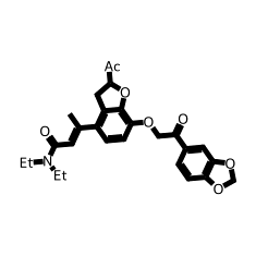 CCN(CC)C(=O)/C=C(\C)c1ccc(OCC(=O)c2ccc3c(c2)OCO3)c2c1CC(C(C)=O)O2